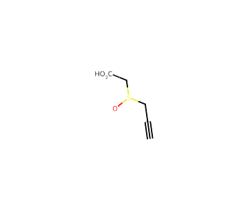 C#CC[S+]([O-])CC(=O)O